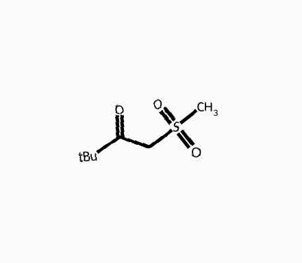 CC(C)(C)C(=O)CS(C)(=O)=O